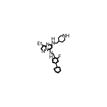 CCc1cnn2c(NCc3ccc(-c4ccccc4)cc3F)cc(NCC3CCNCC3)nc12